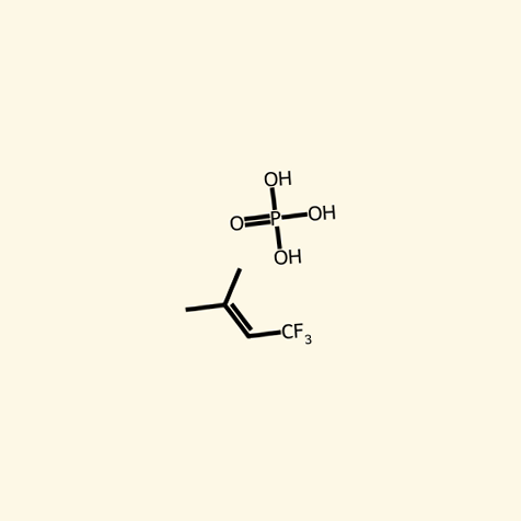 CC(C)=CC(F)(F)F.O=P(O)(O)O